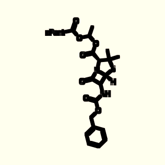 CCCCCC(=O)OC(C)OC(=O)[C@@H]1N2C(=O)C(NC(=O)OCc3ccccc3)[C@H]2SC1(C)C